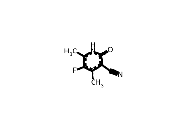 Cc1[nH]c(=O)c(C#N)c(C)c1F